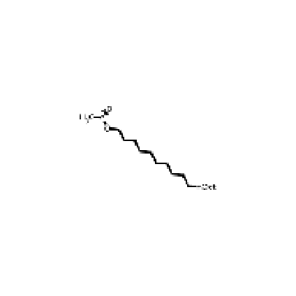 CCCCCCCCCCCCCCCCCCO[PH](C)=O